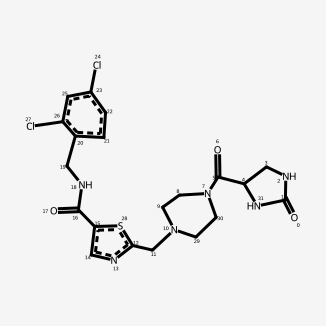 O=C1NCC(C(=O)N2CCN(Cc3ncc(C(=O)NCc4ccc(Cl)cc4Cl)s3)CC2)N1